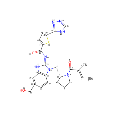 CC(C)(C)/C=C(\C#N)C(=O)N1CCC[C@@H]1Cn1/c(=N/C(=O)c2ccc(-c3nnc[nH]3)s2)[nH]c2cc(CO)ccc21